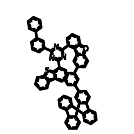 c1ccc(-c2cccc(-c3nc(-c4cccc5c4sc4ccccc45)nc(-c4cccc5oc6ccc(-c7cccc(-c8ccc9c(c8)C8(c%10ccccc%10-c%10ccccc%108)c8ccccc8-9)c7)cc6c45)n3)c2)cc1